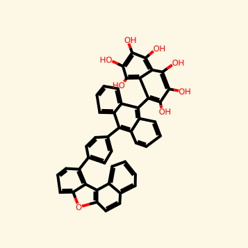 Oc1c(O)c(O)c2c(-c3c4ccccc4c(-c4ccc(-c5cccc6oc7ccc8ccccc8c7c56)cc4)c4ccccc34)c(O)c(O)c(O)c2c1O